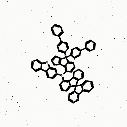 C1=CC2=C(CC1)c1c(N(c3ccc4c(c3)sc3ccccc34)c3cccc4c3C3=C(C=CC3)C4(c3ccc(-c4ccccc4)cc3)c3ccc(-c4ccccc4)cc3)cccc1C21c2ccccc2-c2ccccc21